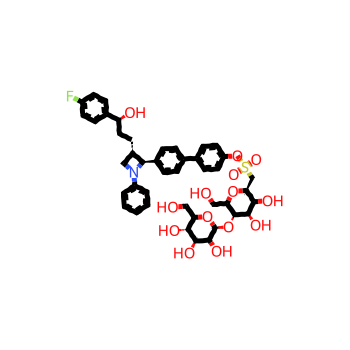 O=S(=O)(C[C@@H]1OC(CO)[C@@H](O[C@@H]2OC(CO)[C@@H](O)[C@H](O)C2O)[C@H](O)C1O)Oc1ccc(-c2ccc([C@@H]3[C@@H](CC[C@H](O)c4ccc(F)cc4)CN3c3ccccc3)cc2)cc1